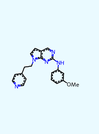 COc1cccc(Nc2ncc3ccn(CCc4ccncc4)c3n2)c1